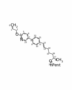 C=CCOc1ccc(-c2ccc(C=CCCCC(C)OCCCCC)cc2)cn1